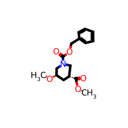 COC(=O)[C@@H]1C[C@@H](OC)CN(C(=O)OCc2ccccc2)C1